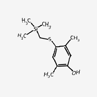 Cc1cc(SC[Si](C)(C)C)c(C)cc1O